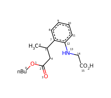 CCCCOC(=O)CC(C)c1ccccc1NCC(=O)O